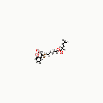 CC(C)CCC(C)(C)C(=O)OCCCCCCSc1cc(=O)oc2ccccc12